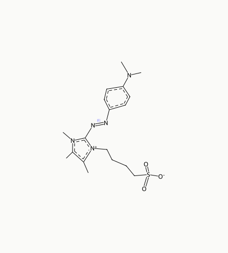 Cc1c(C)[n+](CCCCS(=O)(=O)[O-])c(/N=N/c2ccc(N(C)C)cc2)n1C